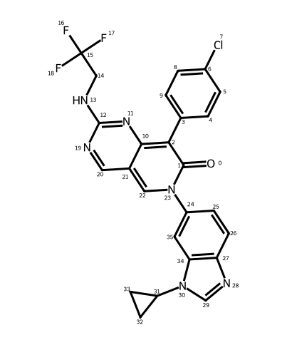 O=c1c(-c2ccc(Cl)cc2)c2nc(NCC(F)(F)F)ncc2cn1-c1ccc2ncn(C3CC3)c2c1